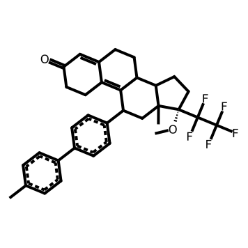 CO[C@@]1(C(F)(F)C(F)(F)F)CCC2C3CCC4=CC(=O)CCC4=C3C(c3ccc(-c4ccc(C)cc4)cc3)CC21C